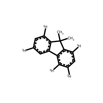 [2H]c1cc([2H])c2c(c1)-c1c([2H])c([2H])cc([2H])c1C2(C)C